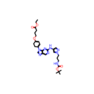 CCOC(=O)CCCOC1=CC=C(n2cnc3cnc(Nc4cnn(CCCNC(=O)OC(C)(C)C)c4)nc32)CC1